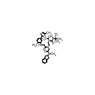 Cc1cnc(-c2ccc(C)c(NCC(=O)N(CCN(C(=O)OC(C)(C)C)C(C)C)CC(=O)N(C)N3Cc4ccccc4C3)c2)o1